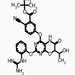 CC(O)C1Oc2nc(Oc3ccccc3NC(=N)N)nc(Oc3ccc(C#N)c(C(=O)OC(C)(C)C)c3)c2NC1=O